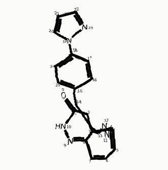 O=C1CC23C(=CC=CC2=NN1)N=NC3Cc1ccc(-n2cccn2)cc1